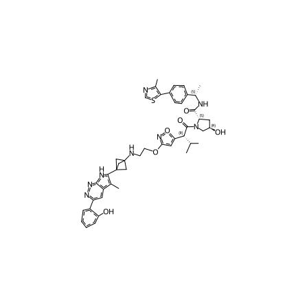 Cc1ncsc1-c1ccc([C@H](C)NC(=O)[C@@H]2C[C@@H](O)CN2C(=O)[C@@H](c2cc(OCCNC34CC(c5[nH]c6nnc(-c7ccccc7O)cc6c5C)(C3)C4)no2)C(C)C)cc1